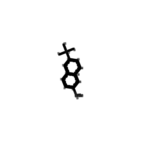 COc1ccc2cc([Si](C)(C)C)ccc2c1